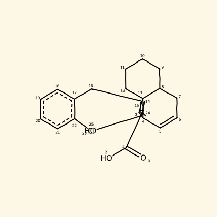 O=C(O)C1=C2C=CCC3CCCCC23NC(Cc2ccccc2Cl)=C1O